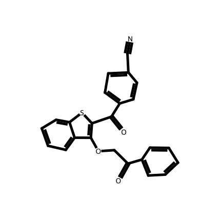 N#Cc1ccc(C(=O)c2sc3ccccc3c2OCC(=O)c2ccccc2)cc1